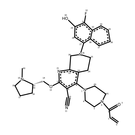 C=CC(=O)N1CCN(c2c(C#N)c(OC[C@@H]3CCCN3C)nc3c2CCN(c2cc(O)c(F)c4ccccc24)C3)CC1